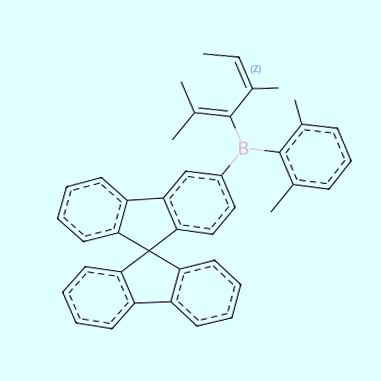 C/C=C(/C)C(B(c1ccc2c(c1)-c1ccccc1C21c2ccccc2-c2ccccc21)c1c(C)cccc1C)=C(C)C